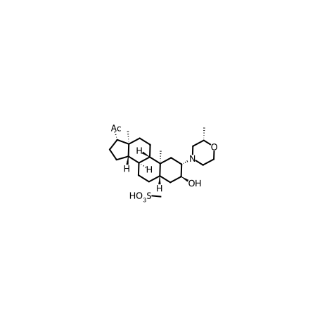 CC(=O)[C@H]1CC[C@H]2[C@@H]3CC[C@H]4C[C@H](O)[C@@H](N5CCO[C@@H](C)C5)C[C@]4(C)[C@H]3CC[C@]12C.CS(=O)(=O)O